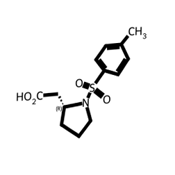 Cc1ccc(S(=O)(=O)N2CCC[C@@H]2CC(=O)O)cc1